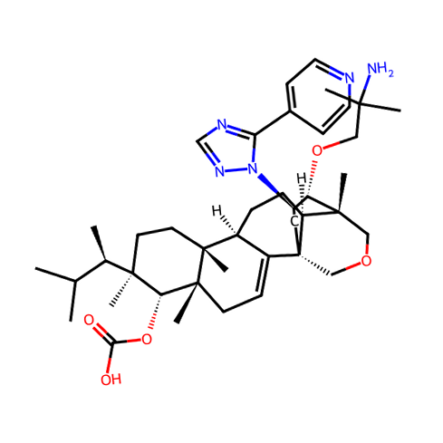 CC(C)[C@@H](C)[C@@]1(C)CC[C@]2(C)[C@H]3CC[C@@H]4[C@@]5(COC[C@@]4(C)[C@@H](OCC(C)(C)N)[C@H](n4ncnc4-c4ccncc4)C5)C3=CC[C@]2(C)[C@@H]1OC(=O)O